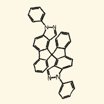 c1ccc(-n2ncc3c4c(ccc32)-c2ccccc2C42c3ccccc3-c3ccc4c(cnn4-c4ccccc4)c32)cc1